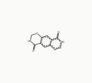 O=C1NCOc2cc3c(=O)[nH]nnc3cc21